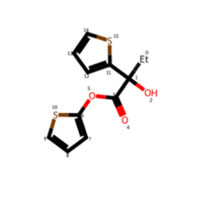 CCC(O)(C(=O)Oc1cccs1)c1cccs1